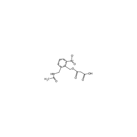 CC(=O)NCc1cccc([N+](=O)[O-])c1COC(=O)CC(=O)O